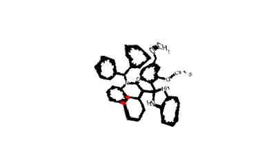 COc1ccc(C2(C(C(=O)N(c3ccccc3)C(c3ccccc3)c3ccccc3)C3CCCCC3)Nc3ccccc3N2)c(OC)c1